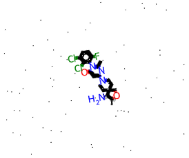 Cc1nc(N2CCC3(CC2)CO[C@@H](C)[C@H]3N)cc(=O)n1-c1c(F)ccc(Cl)c1Cl